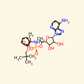 CC(NP(=O)(Oc1ccccc1)OC(C)[C@H]1O[C@@H](n2cnc3c(N)ccnc32)C(O)C1O)C(=O)OCC(C)(C)C